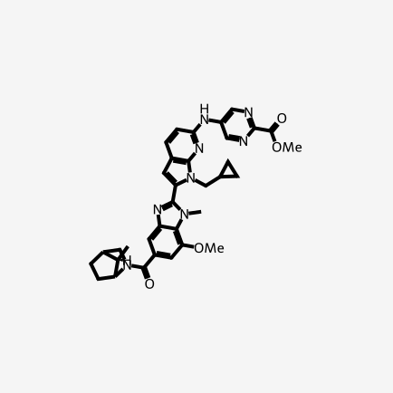 COC(=O)c1ncc(Nc2ccc3cc(-c4nc5cc(C(=O)N6CC7CCC6[C@@H]7C)cc(OC)c5n4C)n(CC4CC4)c3n2)cn1